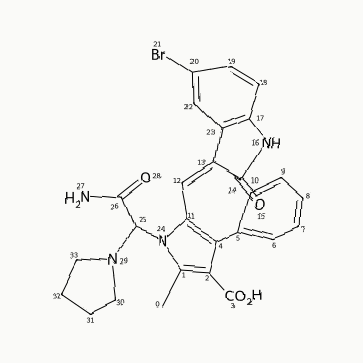 Cc1c(C(=O)O)c(-c2ccccc2)c(C=C2C(=O)Nc3ccc(Br)cc32)n1C(C(N)=O)N1CCCC1